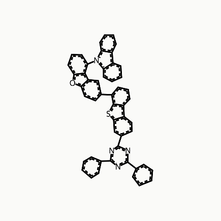 c1ccc(-c2nc(-c3ccccc3)nc(-c3ccc4c(c3)sc3c(-c5ccc6oc7cccc(-n8c9ccccc9c9ccccc98)c7c6c5)cccc34)n2)cc1